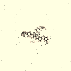 Cc1ccc(N(C)C)cc1-c1ccc(C[C@H](NC(=O)[C@H]2CC[C@H](CN)CC2)C(=O)Nc2ccc(-c3nnn[nH]3)cc2)cc1.Cl